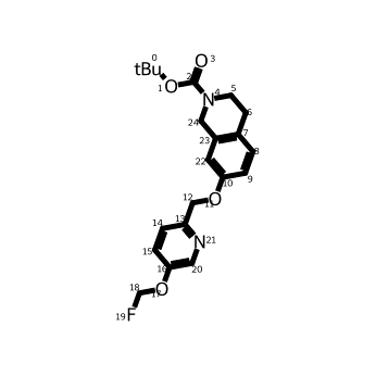 CC(C)(C)OC(=O)N1CCc2ccc(OCc3ccc(OCF)cn3)cc2C1